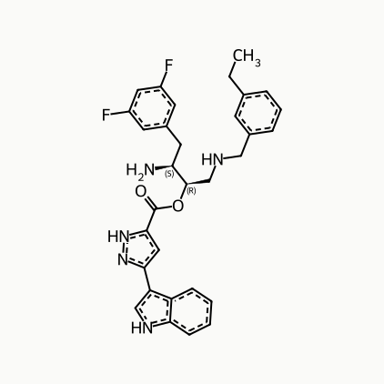 CCc1cccc(CNC[C@@H](OC(=O)c2cc(-c3c[nH]c4ccccc34)n[nH]2)[C@@H](N)Cc2cc(F)cc(F)c2)c1